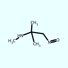 CNC(C)(C)CN=O